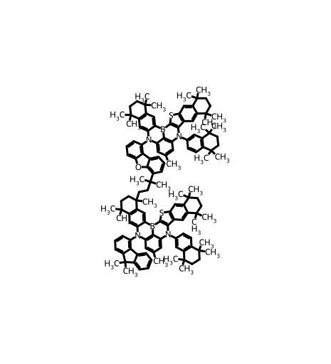 Cc1cc2c3c(c1)N(c1ccc4c(c1)C(C)(C)CCC4(C)C)c1c(sc4cc5c(cc14)C(C)(C)CCC5(C)C)B3c1cc3c(cc1N2c1cccc2c1-c1ccccc1C2(C)C)C(C)(C)CCC3(C)CCC(C)(C)c1cccc2c1oc1cccc(N3c4cc5c(cc4B4c6sc7cc8c(cc7c6N(c6ccc7c(c6)C(C)(C)CCC7(C)C)c6cc(C)cc3c64)C(C)(C)CCC8(C)C)C(C)(C)CCC5(C)C)c12